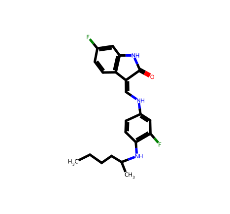 CCCCC(C)Nc1ccc(NC=C2C(=O)Nc3cc(F)ccc32)cc1F